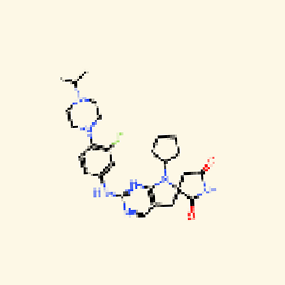 CC(C)N1CCN(c2ccc(Nc3ncc4c(n3)N(C3CCCC3)C3(CC(=O)NC3=O)C4)cc2F)CC1